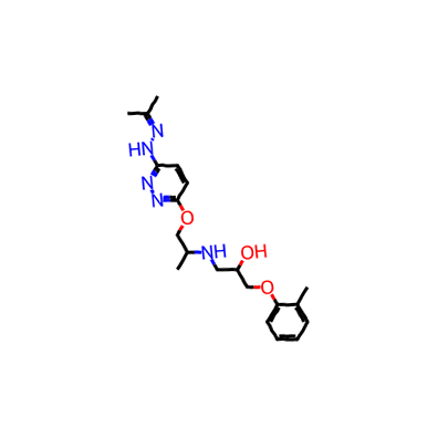 CC(C)=NNc1ccc(OCC(C)NCC(O)COc2ccccc2C)nn1